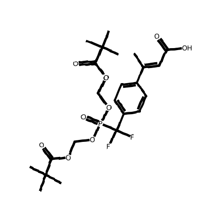 C/C(=C\C(=O)O)c1ccc(C(F)(F)P(=O)(OCOC(=O)C(C)(C)C)OCOC(=O)C(C)(C)C)cc1